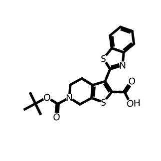 CC(C)(C)OC(=O)N1CCc2c(sc(C(=O)O)c2-c2nc3ccccc3s2)C1